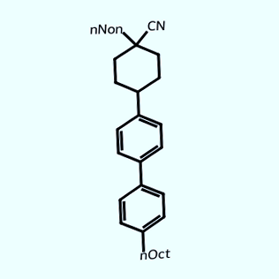 CCCCCCCCCC1(C#N)CCC(c2ccc(-c3ccc(CCCCCCCC)cc3)cc2)CC1